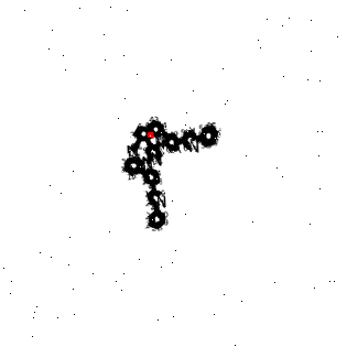 N#Cc1ccccc1-c1cc(-n2c3ccccc3c3cc(-c4ccc(-c5ccccc5)nc4)ccc32)ncc1-n1c2ccccc2c2cc(-c3ccc(-c4ccccc4)nc3)ccc21